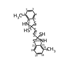 Cc1cccc2c1NC(S)(SSC1(S)Nc3c(C)cccc3S1)S2